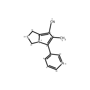 Cc1c(C#N)c2n(c1-c1cccnc1)CSC2